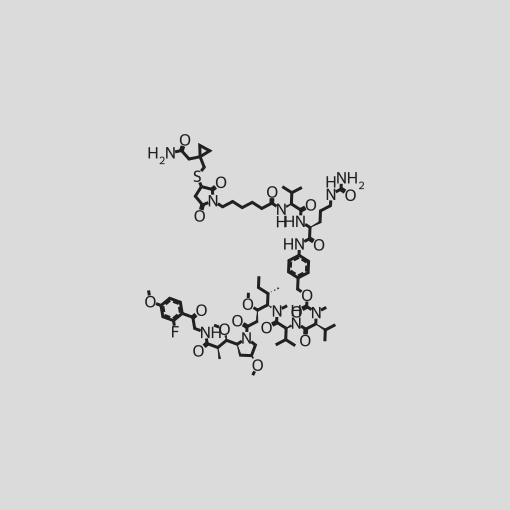 CC[C@H](C)[C@@H]([C@@H](CC(=O)N1C[C@H](OC)C[C@H]1[C@H](OC)[C@@H](C)C(=O)NCC(=O)c1ccc(OC)cc1F)OC)N(C)C(=O)[C@@H](NC(=O)[C@H](C(C)C)N(C)C(=O)OCc1ccc(NC(=O)[C@H](CCCNC(N)=O)NC(=O)[C@@H](NC(=O)CCCCCN2C(=O)CC(SCC3(CC(N)=O)CC3)C2=O)C(C)C)cc1)C(C)C